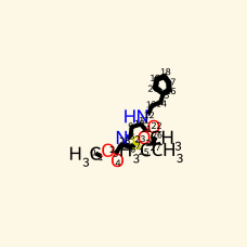 CCOC(=O)c1csc(CC(NCCCc2ccccc2)C(=O)OC(C)(C)C)n1